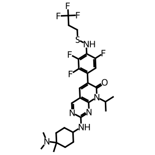 CC(C)n1c(=O)c(-c2cc(F)c(NSCCC(F)(F)F)c(F)c2F)cc2cnc(NC3CCC(C)(N(C)C)CC3)nc21